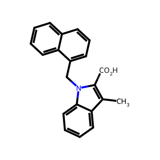 Cc1c(C(=O)O)n(Cc2cccc3ccccc23)c2ccccc12